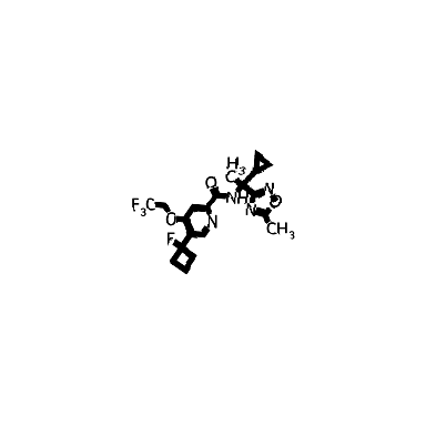 Cc1nc(C(C)(NC(=O)c2cc(OCC(F)(F)F)c(C3(F)CCC3)cn2)C2CC2)no1